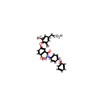 CCN(C(=O)c1cc(Oc2c(Br)cc(CC(=O)O)cc2Br)ccc1O)c1ccc(Oc2ccccc2)cc1